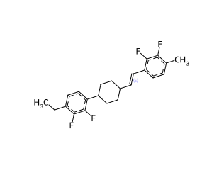 CCc1ccc(C2CCC(/C=C/c3ccc(C)c(F)c3F)CC2)c(F)c1F